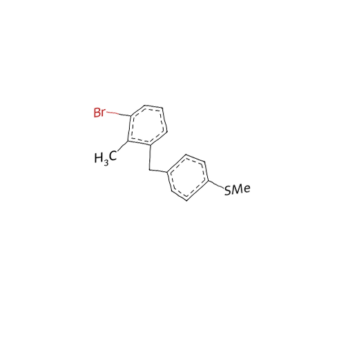 CSc1ccc(Cc2cccc(Br)c2C)cc1